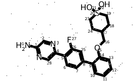 Nc1cnc(-c2ccc(-c3ccccc3OCC3CCS(O)(O)CC3)cc2F)cn1